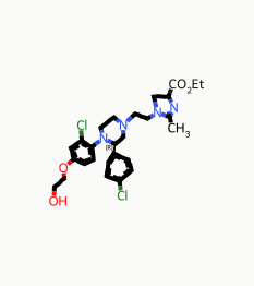 CCOC(=O)C1CN(CCN2CCN(c3ccc(OCCO)cc3Cl)[C@H](c3ccc(Cl)cc3)C2)C(C)=N1